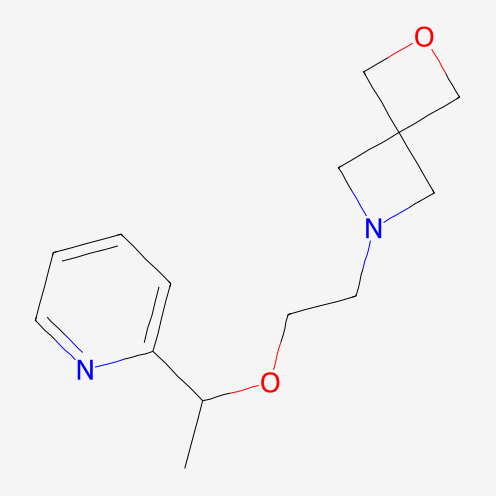 CC(OCCN1CC2(COC2)C1)c1ccccn1